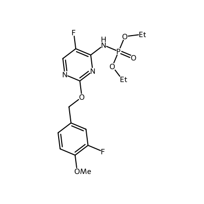 CCOP(=O)(Nc1nc(OCc2ccc(OC)c(F)c2)ncc1F)OCC